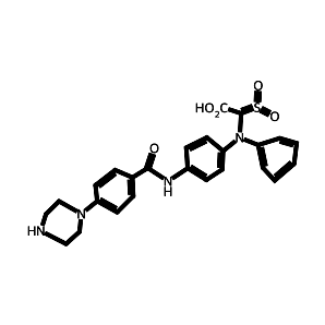 O=C(O)C(N(c1ccccc1)c1ccc(NC(=O)c2ccc(N3CCNCC3)cc2)cc1)=S(=O)=O